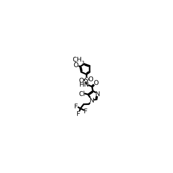 COc1cccc(S(=O)(=O)NC(=O)c2ncn(CCC(F)(F)F)c2Cl)c1